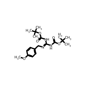 COc1ccc(CN=C(NC(=O)OC(C)(C)C)NC(=O)OC(C)(C)C)cc1